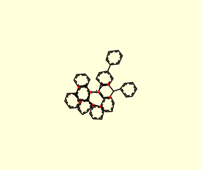 C1=CC(c2ccccc2)CC=C1N(c1ccccc1-c1ccccc1)c1ccccc1-c1ccccc1N(c1ccc(-c2ccccc2)cc1)c1ccccc1-c1ccccc1